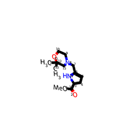 COC(=O)C1CC=C(CN2CCOC(C)(C)C2)N1